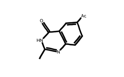 CC(=O)c1ccc2nc(C)[nH]c(=O)c2c1